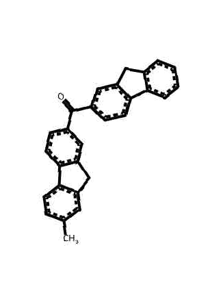 Cc1ccc2c(c1)Cc1cc(C(=O)c3ccc4c(c3)Cc3ccccc3-4)ccc1-2